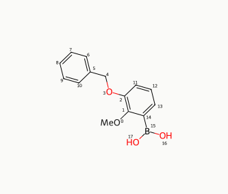 COc1c(OCc2ccccc2)cccc1B(O)O